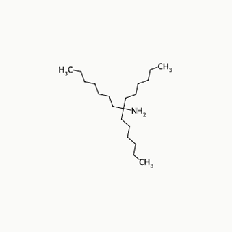 CCCCCCCC(N)(CCCCCC)CCCCCC